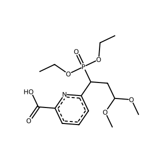 CCOP(=O)(OCC)C(CC(OC)OC)c1cccc(C(=O)O)n1